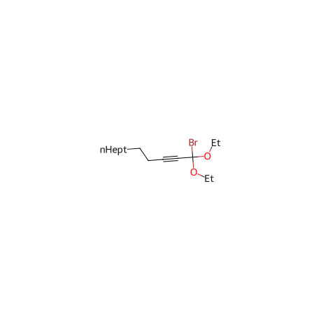 CCCCCCCCCC#CC(Br)(OCC)OCC